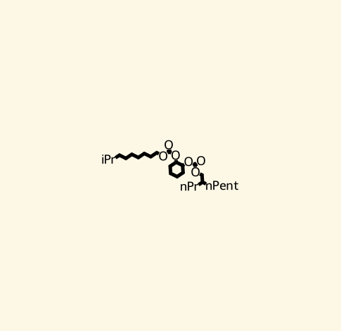 CCCCCC(CCC)COC(=O)OC1CCCCC1OC(=O)OCCCCCCCC(C)C